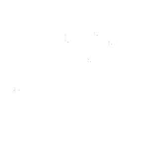 CCCCc1ccc(Nc2n[nH]c(SCc3ccccc3)n2)cc1